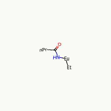 CCCC(=O)[NH][Eu][CH2]C